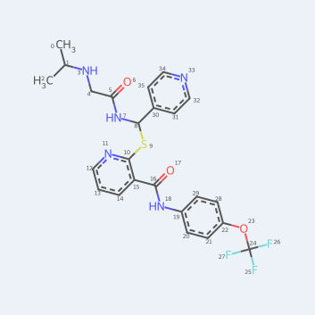 CC(C)NCC(=O)NC(Sc1ncccc1C(=O)Nc1ccc(OC(F)(F)F)cc1)c1ccncc1